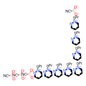 CCC[n+]1ccccn1.CCC[n+]1ccccn1.CCC[n+]1ccccn1.CCC[n+]1ccccn1.CCC[n+]1ccccn1.CCC[n+]1ccccn1.CCC[n+]1ccccn1.CCC[n+]1ccccn1.N#CB([O-])[O-].N#CB([O-])[O-].N#CB([O-])[O-].N#CB([O-])[O-]